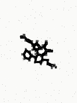 C=CCC1OCC(C2CCCCC2)N(c2cc(C#CC(C)(C)C)sc2C(=O)OC)C1=O